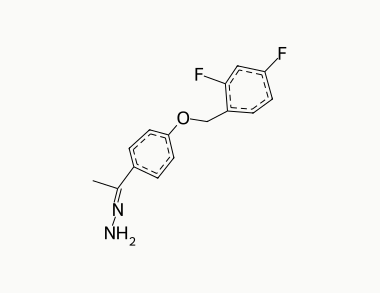 CC(=NN)c1ccc(OCc2ccc(F)cc2F)cc1